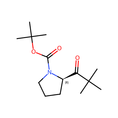 CC(C)(C)OC(=O)N1CCC[C@@H]1C(=O)C(C)(C)C